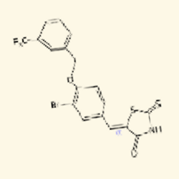 O=C1NC(=S)S/C1=C\c1ccc(OCc2cccc(C(F)(F)F)c2)c(Br)c1